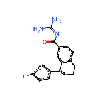 NC(N)=NC(=O)c1ccc2c(c1)C(c1ccc(Cl)cc1)=CCC2